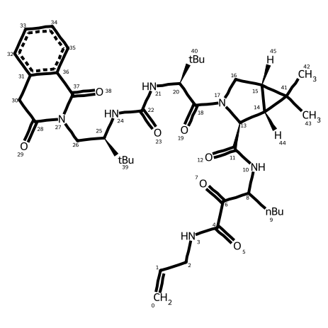 C=CCNC(=O)C(=O)C(CCCC)NC(=O)[C@@H]1[C@@H]2[C@H](CN1C(=O)[C@@H](NC(=O)N[C@H](CN1C(=O)Cc3ccccc3C1=O)C(C)(C)C)C(C)(C)C)C2(C)C